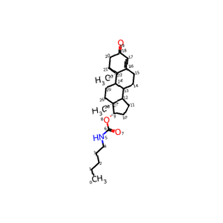 CCCCCNC(=O)O[C@H]1CCC2C3CCC4=CC(=O)CC[C@]4(C)C3CC[C@@]21C